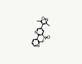 Cc1noc(C)c1-c1cnc(-c2cccnc2F)c(N=O)c1